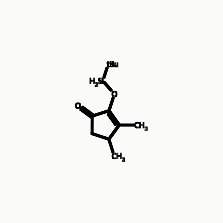 CC1=C(O[SiH2]C(C)(C)C)C(=O)CC1C